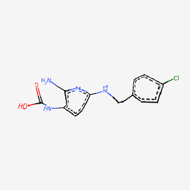 Nc1nc(NCc2ccc(Cl)cc2)ccc1NC(=O)O